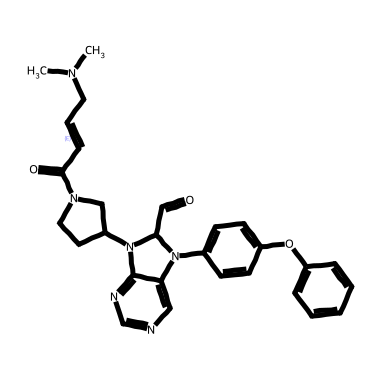 CN(C)C/C=C/C(=O)N1CCC(N2c3ncncc3N(c3ccc(Oc4ccccc4)cc3)C2C=O)C1